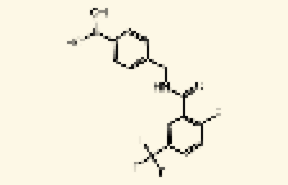 O=C(NCc1ccc(B(O)O)cc1)c1cc(C(F)(F)F)ccc1F